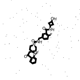 O=C(NC1CC(O)C1)c1cc(CNC(=O)N2CCC3(CC2)CC(=O)c2ccccc2N3F)ccc1F